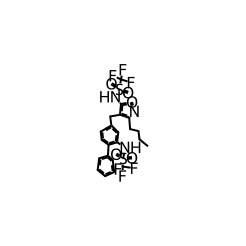 CCCCc1noc(NS(=O)(=O)C(F)(F)F)c1Cc1ccc(-c2ccccc2)c(NS(=O)(=O)C(F)(F)F)c1